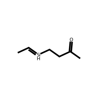 CC=[SiH]CCC(C)=O